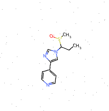 CCC(n1cnc(-c2ccncc2)c1)[S+](C)[O-]